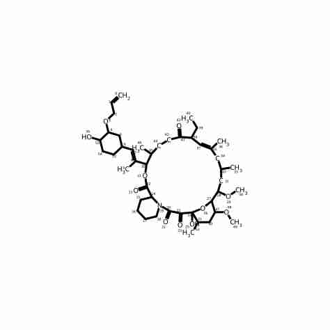 C=CCOC1CC(C=C(C)C2OC(=O)C3CCCCN3C(=O)C(=O)C3(O)OC(C(OC)CC(C)C/C(C)=C/C(CC)C(=O)CCC2C)C(OC)CC3C)CCC1O